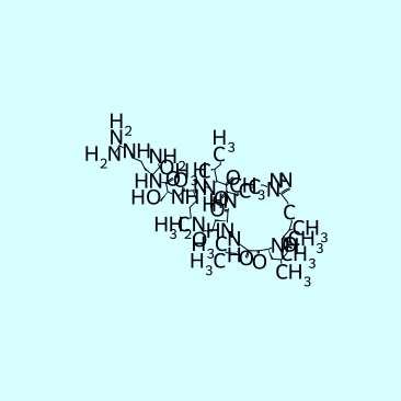 CCCC[C@H](NNC(C(=O)C(=O)[C@]1(C)CCCn2nncc2CCCC(C)(C)C(=O)N[C@@H](CC(C)C)C(=O)C(=O)[C@H](CC(C)C)NN[C@@H](CCC(N)=O)C(=O)N1)[C@@H](C)CC)C(=O)N[C@@H](CO)C(=O)N[C@@H](CCCNC(N)N)C(N)=O